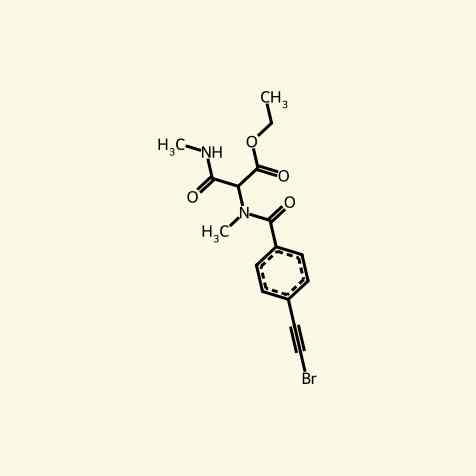 CCOC(=O)C(C(=O)NC)N(C)C(=O)c1ccc(C#CBr)cc1